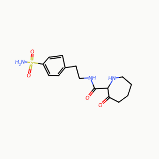 NS(=O)(=O)c1ccc(CCNC(=O)C2NCCCCC2=O)cc1